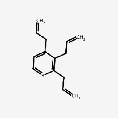 C=CCc1bccc(CC=C)c1CC=C